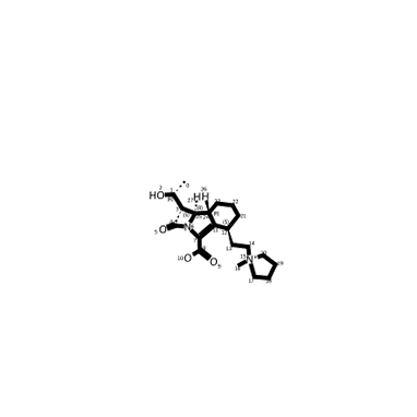 C[C@@H](O)[C@H]1C(=O)N2C(C(=O)[O-])=C3[C@H](CC[N+]4(C)CCCC4)CCC[C@H]3[C@H]12